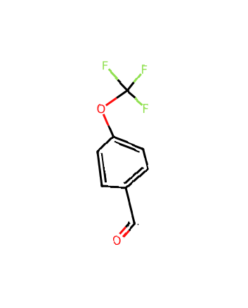 O=[C]c1ccc(OC(F)(F)F)cc1